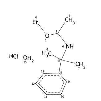 CCOC(C)NC(C)(C)c1ccccc1.Cl.O